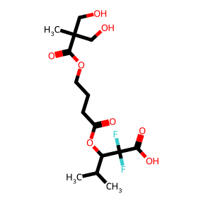 CC(C)C(OC(=O)CCCOC(=O)C(C)(CO)CO)C(F)(F)C(=O)O